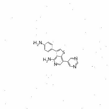 Nc1ccc(-c2csc3c(-c4cncnc4)cnc(N)c23)cc1